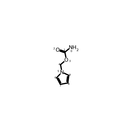 NC(=O)OCn1cccc1